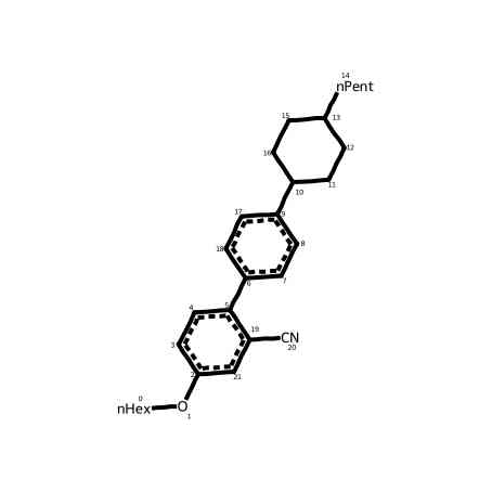 CCCCCCOc1ccc(-c2ccc(C3CCC(CCCCC)CC3)cc2)c(C#N)c1